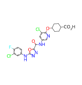 O=C(Nc1cnc(OC2CCC(C(=O)O)CC2)c(Cl)c1)c1nnc(Nc2ccc(F)c(Cl)c2)o1